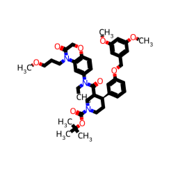 CCN(C(=O)C1CN(C(=O)OC(C)(C)C)CC[C@@H]1c1cccc(OCc2cc(OC)cc(OC)c2)c1)c1ccc2c(c1)N(CCCOC)C(=O)CO2